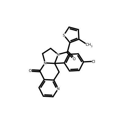 Cc1ccsc1C(=O)N1CCN2C(=O)c3cccnc3CC21c1ccc(Cl)cc1